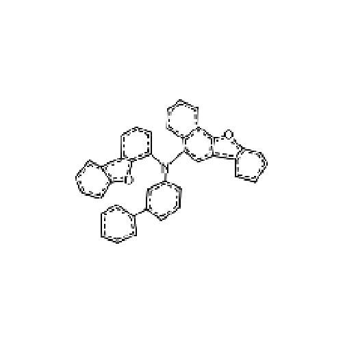 c1ccc(-c2cccc(N(c3cc4c5ccccc5oc4c4ccccc34)c3cccc4c3oc3ccccc34)c2)cc1